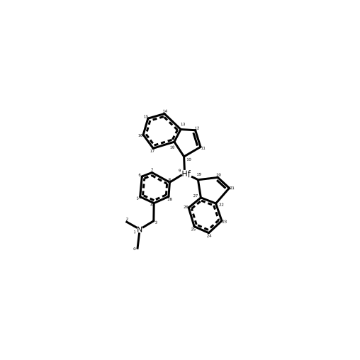 CN(C)Cc1[c]cc[c]([Hf]([CH]2C=Cc3ccccc32)[CH]2C=Cc3ccccc32)c1